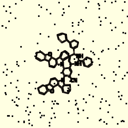 N#CC1=C(n2c3c(c4ccccc42)C2OC4=C(CCC=C4)C2C=C3)CC(n2c3c(c4ccccc42)C2OC4=C(C=CCC4)C2C=C3)C(C2C=CC(C3=CCCC(C4=CC=CCC4)=C3)NC(C3=CC=CCC3)N2)=C1